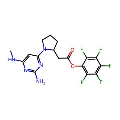 CNc1cc(N2CCCC2CC(=O)Oc2c(F)c(F)c(F)c(F)c2F)nc(N)n1